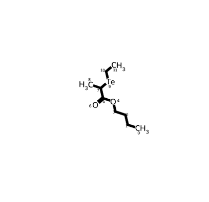 CCCCOC(=O)C(C)[Te]CC